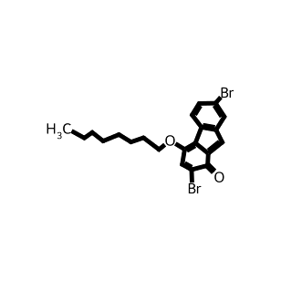 CCCCCCCCOC1=C2C(=Cc3cc(Br)ccc32)C(=O)C(Br)=C1